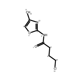 Cc1coc(NC(=O)CCCCl)n1